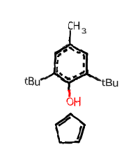 C1=CCC=C1.Cc1cc(C(C)(C)C)c(O)c(C(C)(C)C)c1